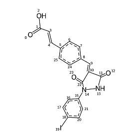 O=C(O)C=Cc1ccc(C=C2C(=O)NN(c3ccc(I)cc3)C2=O)cc1